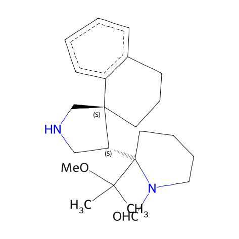 COC(C)(C)C1([C@@H]2CNC[C@@]23CCCc2ccccc23)CCCCN1C=O